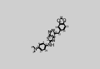 CN(C)c1ccc(Nc2nn3c(Cc4ccc5c(c4)OCO5)nnc3s2)cc1